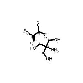 NC(CO)(CO)CO.O=C(O)C(Cl)Cl